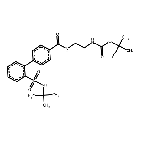 CC(C)(C)NS(=O)(=O)c1ccccc1-c1ccc(C(=O)NCCNC(=O)OC(C)(C)C)cc1